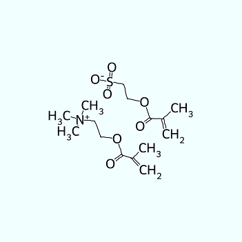 C=C(C)C(=O)OCCS(=O)(=O)[O-].C=C(C)C(=O)OCC[N+](C)(C)C